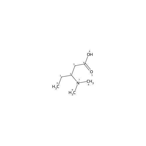 CCC(CC(=O)O)N(C)C